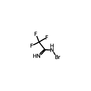 N=C(NBr)C(F)(F)F